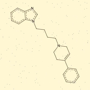 C1=C(c2ccccc2)CCN(CCCCn2cnc3ccccc32)C1